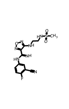 CS(=O)(=O)NCCNc1nonc1C(=N)Nc1ccc(F)c(C#N)c1